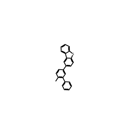 Cc1ccc(-c2ccc3sc4ccccc4c3c2)cc1-c1ccccc1